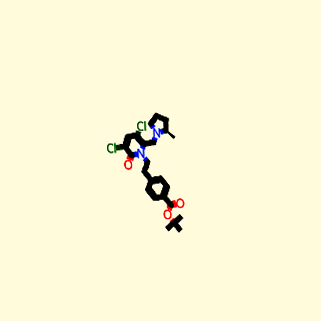 C[C@@H]1CCCN1Cc1c(Cl)cc(Cl)c(=O)n1CCc1ccc(C(=O)OC(C)(C)C)cc1